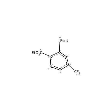 CCCC(C)c1cc(C(F)(F)F)cnc1C(=O)OCC